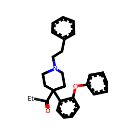 CCC(=O)C1(c2ccccc2Oc2ccccc2)CCN(CCc2ccccc2)CC1